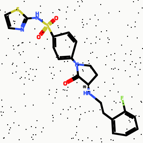 O=C1[C@@H](NCCc2ccccc2F)CCN1c1ccc(S(=O)(=O)Nc2nccs2)cc1